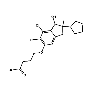 CC1(C2CCCC2)Cc2cc(OCCCC(=O)O)c(Cl)c(Cl)c2C1O